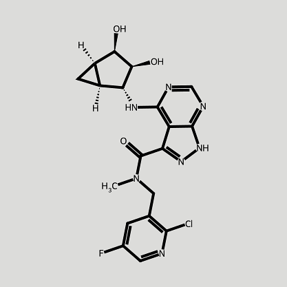 CN(Cc1cc(F)cnc1Cl)C(=O)c1n[nH]c2ncnc(N[C@H]3[C@H](O)[C@H](O)[C@@H]4C[C@@H]43)c12